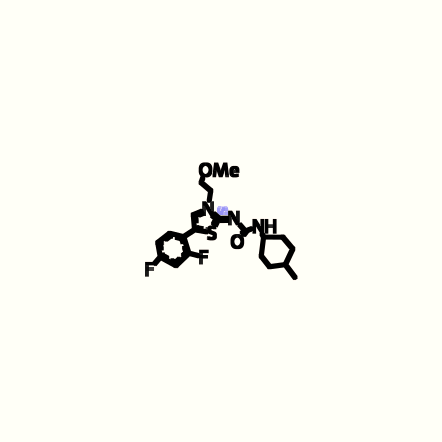 COCCn1cc(-c2ccc(F)cc2F)s/c1=N\C(=O)NC1CCC(C)CC1